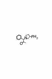 CC(=O)C(c1ccccc1)N1CCC(P)C1